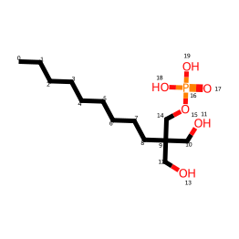 CCCCCCCCCC(CO)(CO)COP(=O)(O)O